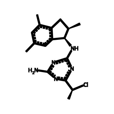 Cc1cc(C)c2c(c1)[C@H](Nc1nc(N)nc([C@H](C)Cl)n1)[C@H](C)C2